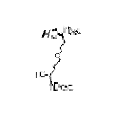 CCCCCCCCCCC(O)CCCOCCCC(O)CCCCCCCCCC